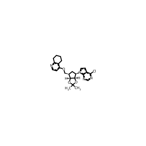 CC1(C)O[C@@H]2[C@@H](COc3ccnc4c3CCCC4)C[C@@H](n3ccc4c(Cl)ncnc43)[C@@H]2O1